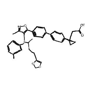 Cc1cccc(N(c2c(C)noc2-c2ccc(-c3ccc(C4(CC(=O)O)CC4)cc3)cc2)C(C)CCC2=COCO2)c1